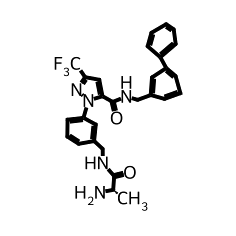 C[C@H](N)C(=O)NCc1cccc(-n2nc(C(F)(F)F)cc2C(=O)NCc2cccc(-c3ccccc3)c2)c1